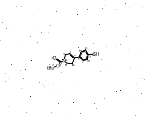 CC(C)(C)OC(=O)N1CC=C(c2ccc(S)cc2)CC1